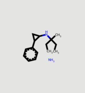 CCC(C)(CC)NC1CC1c1ccccc1.N